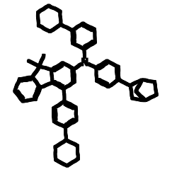 CC1(C)c2ccccc2-c2c(-c3ccc(C4CCCCC4)cc3)cc(N(c3ccc(C4CC5CCC4C5)cc3)c3cccc(C4CCCCC4)c3)cc21